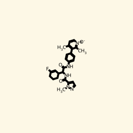 Cc1cc[n+]([O-])c(C)c1-c1ccc(NC(=O)C(NC(=O)c2ccnn2C)C2C=C(F)CCC2)cc1